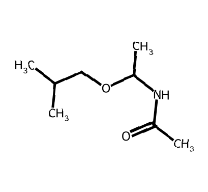 CC(=O)NC(C)OCC(C)C